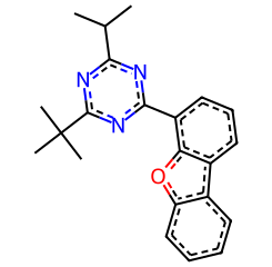 CC(C)c1nc(-c2cccc3c2oc2ccccc23)nc(C(C)(C)C)n1